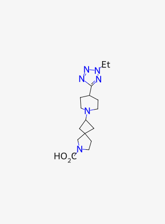 CCn1nnc(C2CCN(C3CC4(CCN(C(=O)O)C4)C3)CC2)n1